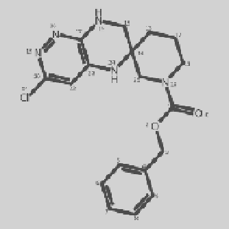 O=C(OCc1ccccc1)N1CCCC2(CNc3nnc(Cl)cc3N2)C1